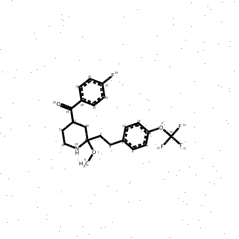 COC1(CCc2ccc(OC(F)(F)F)cc2)CC(C(=O)c2ccc(F)cc2)CCN1